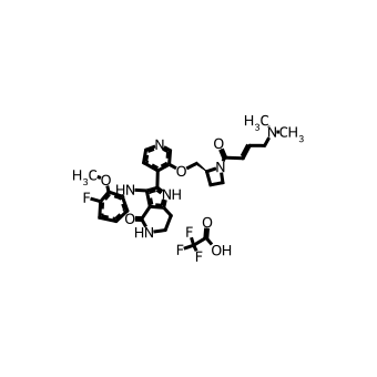 COc1c(F)cccc1Nc1c(-c2ccncc2OC[C@@H]2CCN2C(=O)/C=C/CN(C)C)[nH]c2c1C(=O)NCC2.O=C(O)C(F)(F)F